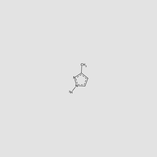 [2H]n1ccc(C)n1